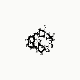 COCC(F)(F)CN1CCN(Cc2ccn3ncc(N4CCC(=O)NC4=O)c3c2)C[C@@H]1C